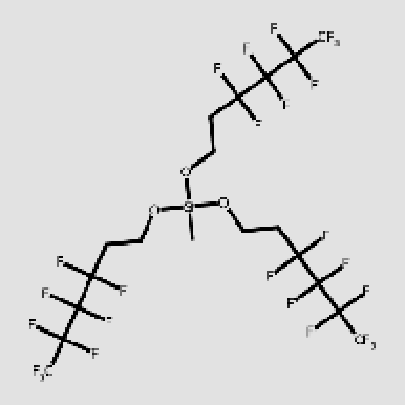 C[Si](OCCC(F)(F)C(F)(F)C(F)(F)C(F)(F)F)(OCCC(F)(F)C(F)(F)C(F)(F)C(F)(F)F)OCCC(F)(F)C(F)(F)C(F)(F)C(F)(F)F